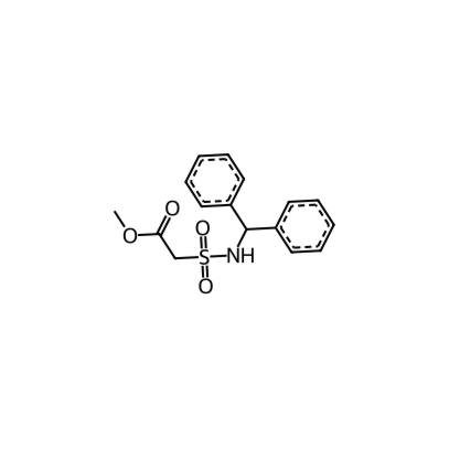 COC(=O)CS(=O)(=O)NC(c1ccccc1)c1ccccc1